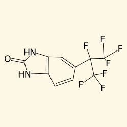 O=c1[nH]c2ccc(C(F)(C(F)(F)F)C(F)(F)F)cc2[nH]1